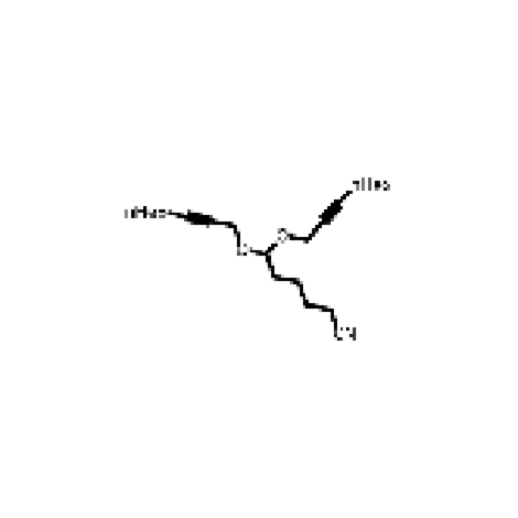 CCCCCCC#CCOC(CCCCC#N)OCC#CCCCCCC